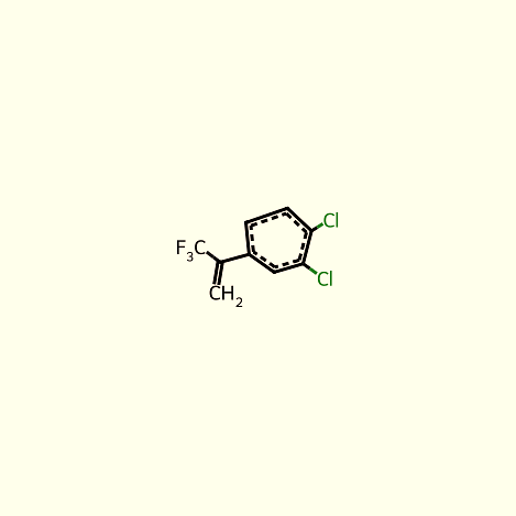 C=C(c1ccc(Cl)c(Cl)c1)C(F)(F)F